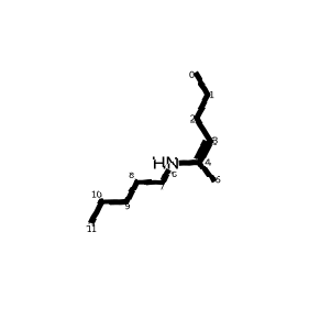 CCC/C=C(/C)NCCCCC